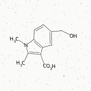 Cc1c(C(=O)O)c2cc(CO)ccc2n1C